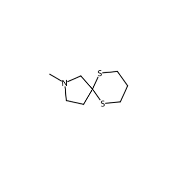 CN1CCC2(C1)SCCCS2